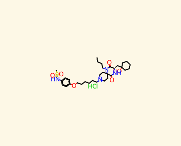 CCCCN1C(=O)[C@@H](CC2(O)CCCCC2)NC(=O)C12CCN(CCCCCCOc1ccc(NS(C)(=O)=O)cc1)CC2.Cl